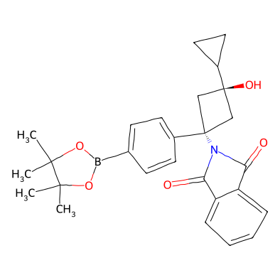 CC1(C)OB(c2ccc([C@]3(N4C(=O)c5ccccc5C4=O)C[C@@](O)(C4CC4)C3)cc2)OC1(C)C